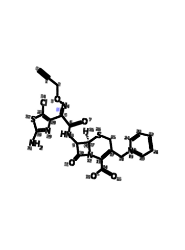 C#CCO/N=C(/C(=O)NC1C(=O)N2C(C(=O)[O-])=C(C[n+]3ccccc3)CS[C@H]12)c1nc(N)sc1Cl